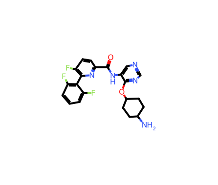 NC1CCC(Oc2ncncc2NC(=O)c2ccc(F)c(-c3c(F)cccc3F)n2)CC1